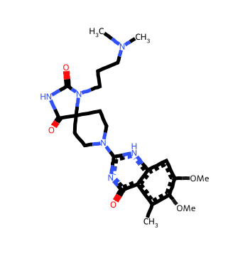 COc1cc2[nH]c(N3CCC4(CC3)C(=O)NC(=O)N4CCCN(C)C)nc(=O)c2c(C)c1OC